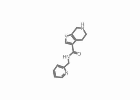 O=C(NCc1ccccn1)c1csc2c1CCNC2